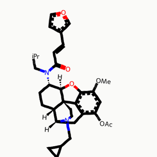 COc1cc(OC(C)=O)c2c3c1O[C@@H]1[C@@H](N(CC(C)C)C(=O)C=Cc4ccoc4)CC[C@H]4[C@@H](C2)N(CC2CC2)CC[C@]314